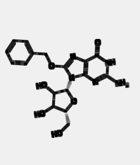 Nc1nc2c(nc(OCc3ccccc3)n2[C@@H]2O[C@H](CO)C(O)C2O)c(=O)[nH]1